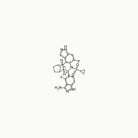 Nc1n[nH]c2ccc([C@H]3[C@@H]4C5CCC(C5)[C@@H]4c4c(c(F)cc5[nH]ncc45)N3S(=O)(=O)C3CC3)c(F)c12